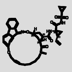 C=C[C@@H]1C[C@]1(NC(=O)[C@@H]1C[C@@H]2C[C@H]1C(=O)N(C)CCCCC=CCOc1ccc3c(c1)C(=NO2)c1ccccc1-3)C(=O)NS(=O)(=O)C1CC1